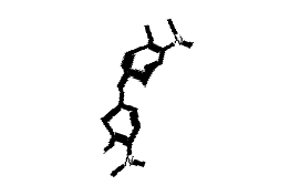 Cc1cc(Cc2ccc(N(C)C)c(C)c2)ccc1N(C)C